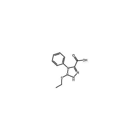 CCSN1NN=C(C(=O)O)N1c1ccccc1